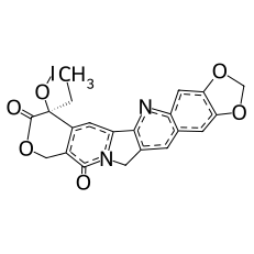 CC[C@@]1(OI)C(=O)OCc2c1cc1n(c2=O)Cc2cc3cc4c(cc3nc2-1)OCO4